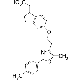 Cc1ccc(-c2nc(CCOc3ccc4c(c3)CCC4CC(=O)O)c(C)o2)cc1